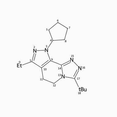 CCc1nn(C2CCCC2)c2c1CCn1c-2nnc1C(C)(C)C